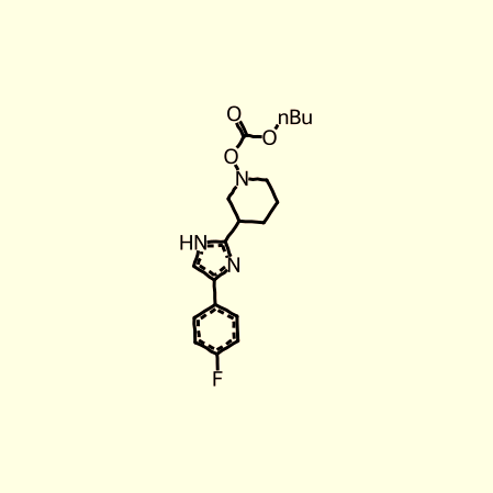 CCCCOC(=O)ON1CCCC(c2nc(-c3ccc(F)cc3)c[nH]2)C1